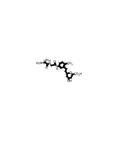 CC(=O)NC(C(=O)NCC(=O)Nc1ccc(C)c(CCC2CC(O)CC(C(=O)O)O2)c1)C(C)C